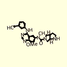 C#Cc1cccc(Nc2ncnc3cc(OC)c(N(C)C(=O)N4C[C@H]5CCN[C@H]5C4)cc23)c1